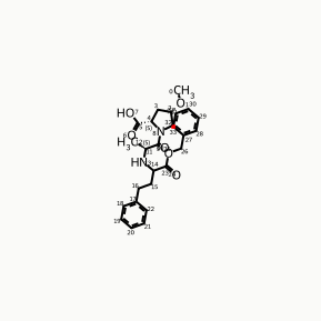 CO[C@H]1C[C@@H](C(=O)O)N(C(=O)[C@H](C)NC(CCc2ccccc2)C(=O)OCc2ccccc2)C1